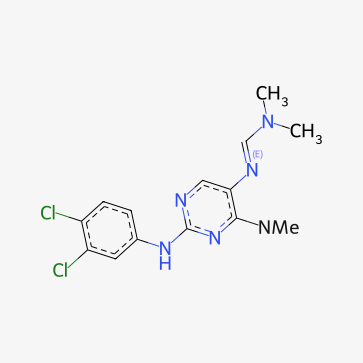 CNc1nc(Nc2ccc(Cl)c(Cl)c2)ncc1/N=C/N(C)C